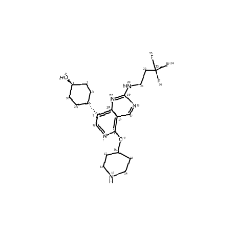 O[C@H]1CC[C@H](c2cnc(OC3CCNCC3)c3cnc(NCCC(F)(F)F)nc32)CC1